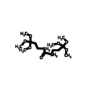 COC(CC[SiH2]C(=O)[SiH2]CCC(OC)(OC)OC)(OC)OC